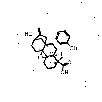 C=C1C[C@@]23CC[C@H]4[C@@](C)(CCC[C@@]4(C)C(=O)O)[C@@H]2CC[C@]1(O)C3.Oc1ccccc1